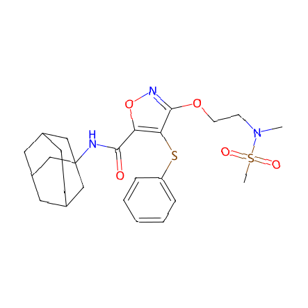 CN(CCOc1noc(C(=O)NC23CC4CC(CC(C4)C2)C3)c1Sc1ccccc1)S(C)(=O)=O